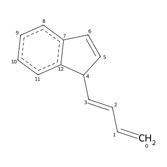 C=CC=CC1C=Cc2ccccc21